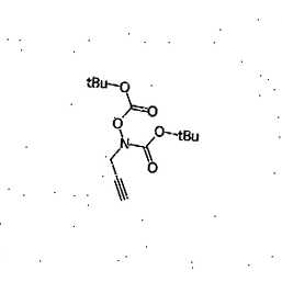 C#CCN(OC(=O)OC(C)(C)C)C(=O)OC(C)(C)C